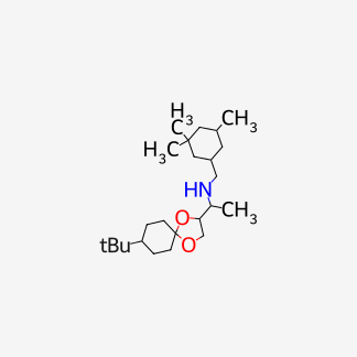 CC1CC(CNC(C)C2COC3(CCC(C(C)(C)C)CC3)O2)CC(C)(C)C1